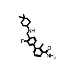 Cc1c(C(N)=O)cccc1-c1ccc(CNC2CCC(C)(C)CC2)c(F)c1